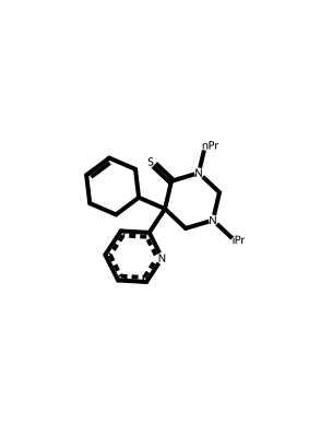 CCCN1CN(C(C)C)CC(c2ccccn2)(C2CC=CCC2)C1=S